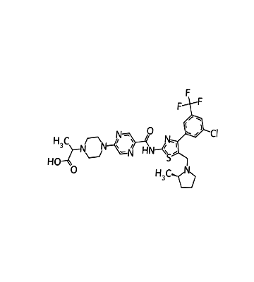 CC(C(=O)O)N1CCN(c2cnc(C(=O)Nc3nc(-c4cc(Cl)cc(C(F)(F)F)c4)c(CN4CCC[C@H]4C)s3)cn2)CC1